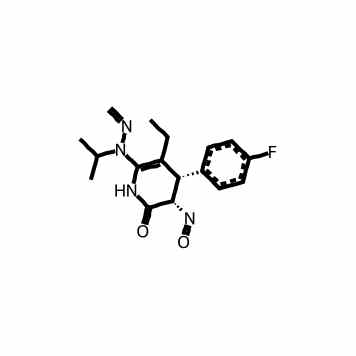 C=NN(C1=C(CC)[C@H](c2ccc(F)cc2)[C@H](N=O)C(=O)N1)C(C)C